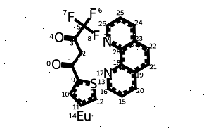 O=C(CC(=O)C(F)(F)F)c1cccs1.[Eu].c1cnc2c(c1)ccc1cccnc12